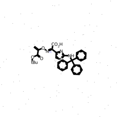 C=C(O/N=C(\C(=O)O)c1csc(NC(c2ccccc2)(c2ccccc2)c2ccccc2)n1)C(=O)OC(C)(C)C